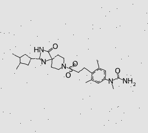 Cc1cc(N(C)C(N)=O)cc(C)c1CCS(=O)(=O)N1CCC2(CC1)N=C(C1CC(C)C(C)C1)NC2=O